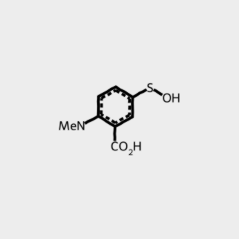 CNc1ccc(SO)cc1C(=O)O